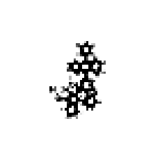 C=Cc1c(/C=C\C)c(-c2cccc3sc4cc(-c5c6ccccc6c(-c6ccccc6)c6ccccc56)ccc4c23)c2ccccc2c1C#N